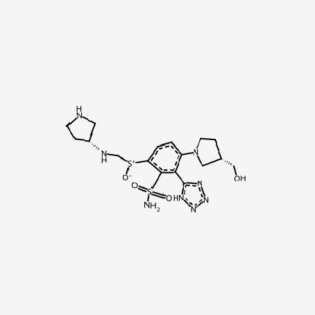 NS(=O)(=O)c1c([S+]([O-])CN[C@@H]2CCNC2)ccc(N2CC[C@H](CO)C2)c1-c1nnn[nH]1